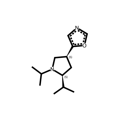 CC(C)[C@@H]1C[C@H](c2cnco2)CN1C(C)C